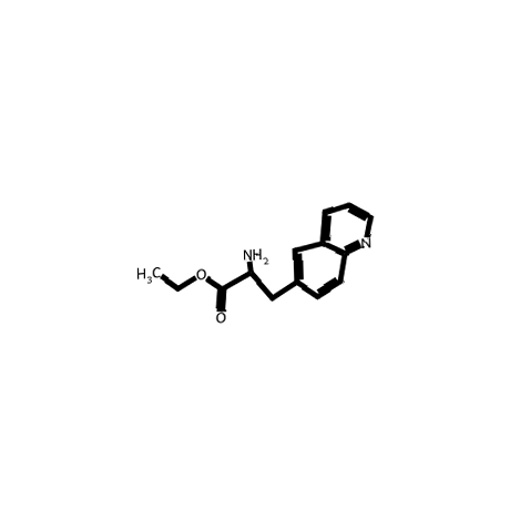 CCOC(=O)C(N)Cc1ccc2ncccc2c1